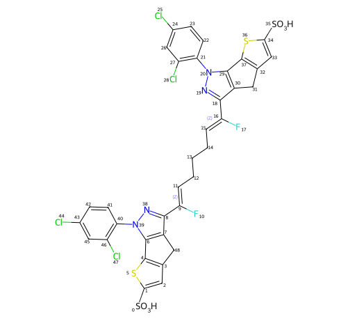 O=S(=O)(O)c1cc2c(s1)-c1c(c(/C(F)=C/CCC/C=C(\F)c3nn(-c4ccc(Cl)cc4Cl)c4c3Cc3cc(S(=O)(=O)O)sc3-4)nn1-c1ccc(Cl)cc1Cl)C2